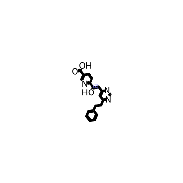 O=C(O)c1ccc(/C(O)=C/c2cc(CCc3ccccc3)ncn2)nc1